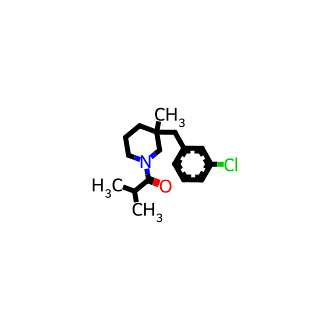 CC(C)C(=O)N1CCCC(C)(Cc2cccc(Cl)c2)C1